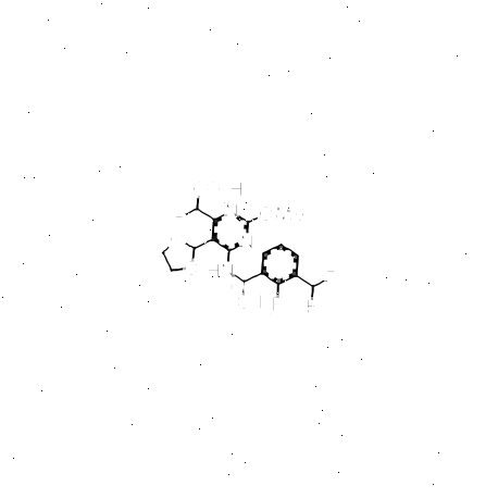 COc1nc(N[C@H](C)c2cccc(C(F)F)c2F)c(C2OCCO2)c(C(F)C(=O)O)n1